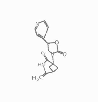 C=C1NC(=O)C2(N3CC(c4ccncc4)OC3=O)CC1C2